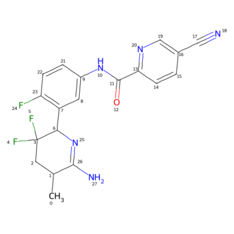 CC1CC(F)(F)C(c2cc(NC(=O)c3ccc(C#N)cn3)ccc2F)N=C1N